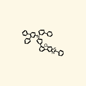 c1ccc(-c2cccc(N(c3ccc(-c4cccc5c4oc4cc6sc(-c7ccccc7)nc6cc45)cc3)c3ccc(-c4ccccc4)c(-c4ccccc4)c3)c2)cc1